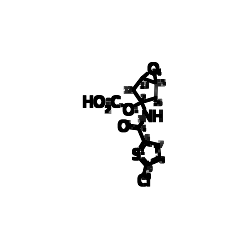 O=C(O)OC1(NC(=O)c2ccc(Cl)s2)CC2OC2C1